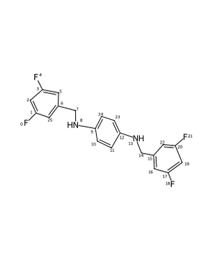 Fc1cc(F)cc(CNc2ccc(NCc3cc(F)cc(F)c3)cc2)c1